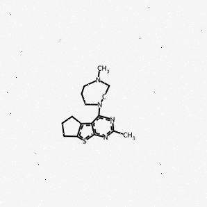 Cc1nc(N2CCCN(C)CC2)c2c3c(sc2n1)CCC3